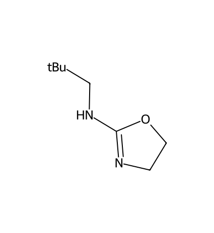 CC(C)(C)CNC1=NCCO1